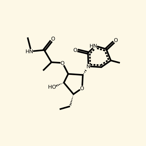 CC[C@H]1O[C@@H](n2cc(C)c(=O)[nH]c2=O)C(OC(C)C(=O)NC)[C@H]1O